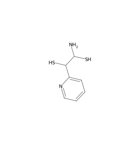 NC(S)C(S)c1ccccn1